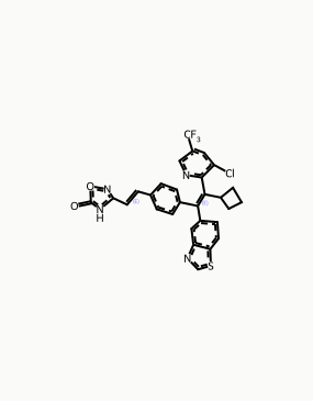 O=c1[nH]c(/C=C/c2ccc(/C(=C(\c3ncc(C(F)(F)F)cc3Cl)C3CCC3)c3ccc4scnc4c3)cc2)no1